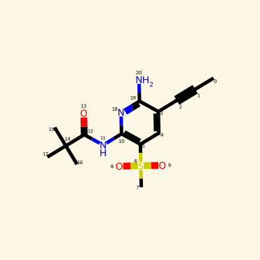 CC#Cc1cc(S(C)(=O)=O)c(NC(=O)C(C)(C)C)nc1N